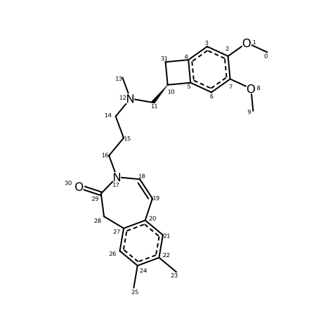 COc1cc2c(cc1OC)[C@@H](CN(C)CCCN1C=Cc3cc(C)c(C)cc3CC1=O)C2